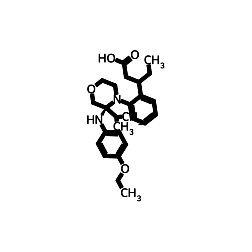 CCOc1ccc(N[C@@]2(C(C)C)COCCN2c2ccccc2C(CC)CC(=O)O)cc1